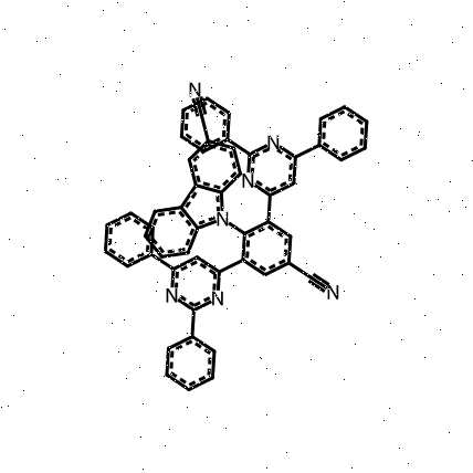 N#Cc1cc(-c2cc(-c3ccccc3)nc(-c3ccccc3)n2)c(-n2c3ccccc3c3cc(C#N)ccc32)c(-c2cc(-c3ccccc3)nc(-c3ccccc3)n2)c1